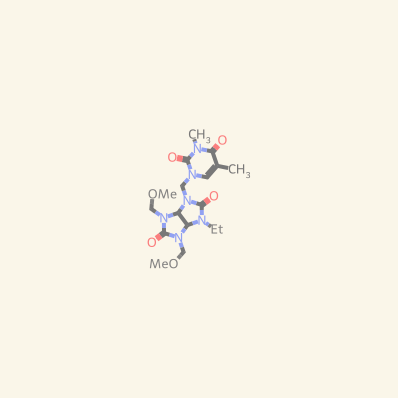 CCN1C(=O)N(Cn2cc(C)c(=O)n(C)c2=O)C2C1N(COC)C(=O)N2COC